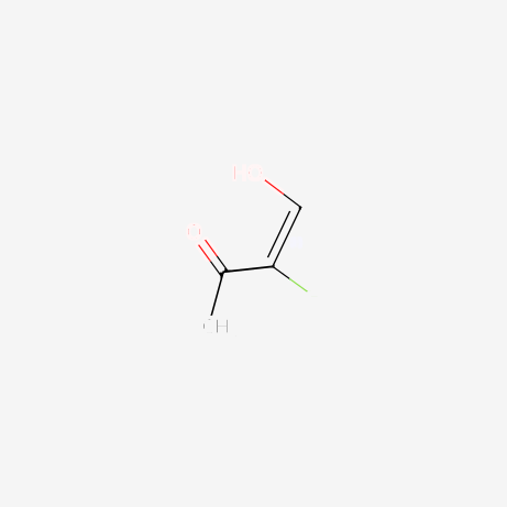 CC(=O)/C(F)=C\O